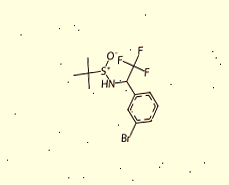 CC(C)(C)[S+]([O-])NC(c1cccc(Br)c1)C(F)(F)F